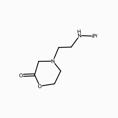 CC(C)NCCN1CCOC(=O)C1